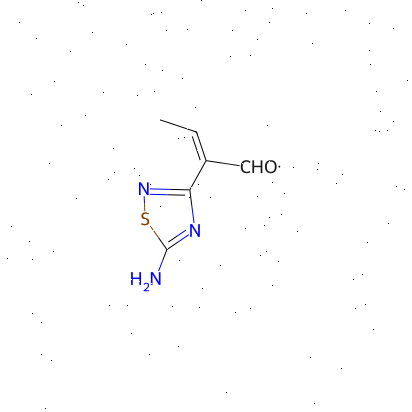 C/C=C(/[C]=O)c1nsc(N)n1